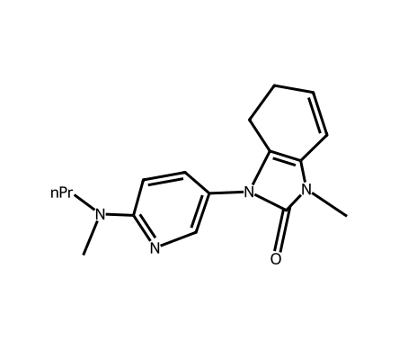 CCCN(C)c1ccc(-n2c3c(n(C)c2=O)C=CCC3)cn1